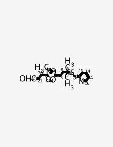 CN(OC(=O)CCC(C)(C)SSc1ccccn1)C(=O)CCC=O